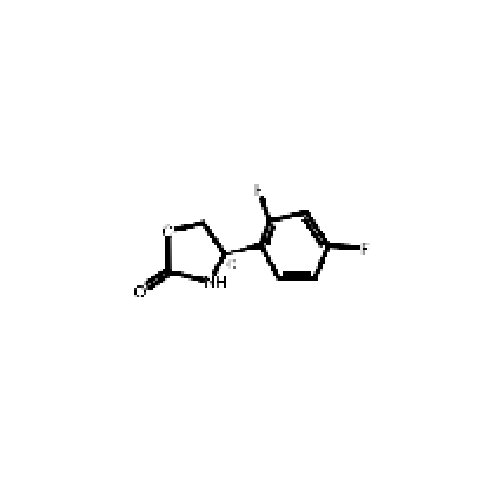 O=C1N[C@H](c2ccc(F)cc2F)CO1